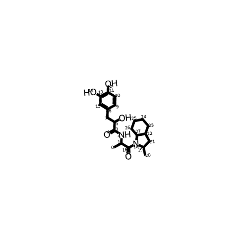 CC(NC(=O)C(O)Cc1ccc(O)c(O)c1)C(=O)N1C(C)CC2CCCCC21